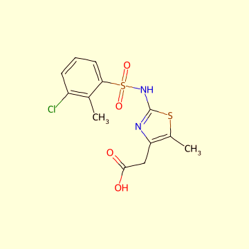 Cc1sc(NS(=O)(=O)c2cccc(Cl)c2C)nc1CC(=O)O